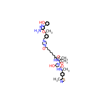 Cc1ncsc1-c1ccc([C@H](C)NC(=O)[C@@H]2C[C@@H](O)CN2C(=O)[C@@H](NC(=O)CCCCCCCCC(=O)N2CCN(Cc3cccc(C(C)Oc4cc(-c5ccccc5O)nnc4N)c3)CC2)C(C)(C)C)cc1